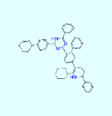 C1=CC(c2ccc(C3N=C(C4=CC=C(C5=C(C6CCCCC6)NC(c6ccccc6)CC5)CC4c4ccccc4)N=C(c4ccccc4)N3)cc2)CCC1